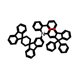 c1ccc(-c2ccccc2N(c2ccc3c(c2)C2(CCC4(CC2)c2ccccc2-c2ccccc24)c2ccccc2-3)c2ccc3c(c2)C(c2ccccc2)(c2ccccc2)c2ccccc2-3)cc1